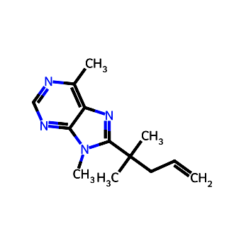 C=CCC(C)(C)c1nc2c(C)ncnc2n1C